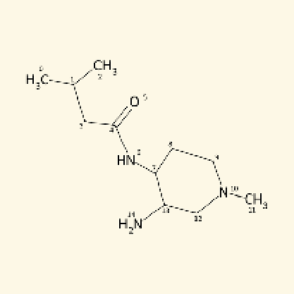 CC(C)CC(=O)NC1CCN(C)CC1N